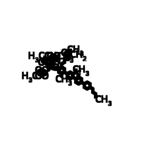 C=C(C)C(=O)OCCCc1cc(-c2ccc(-c3ccc(C4CCC(CCCCC)CC4)cc3F)c(CC)c2)c(CC)cc1OCC(COC(=O)C(=C)C)(COC(=O)C(=O)OC)COC(=O)C(=O)OC